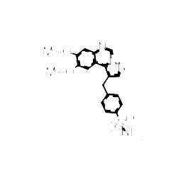 COc1cc2ncn3ncc(Cc4ccc(S(N)(=O)=O)cc4)c3c2cc1OC